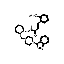 COc1ccccc1/C=C/C(=O)NC[C@H]1CCCC[C@H]1CN1CCN(c2nsc3ccccc23)CC1